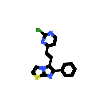 Clc1nccc(C=Cc2c(-c3ccccc3)nc3sccn23)n1